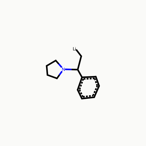 [Li][CH2]C(c1ccccc1)N1CCCC1